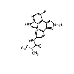 CCn1cc(-c2c(F)cnc3[nH]ccc23)c(-c2ccc(NC(=O)N(C)C)cc2)n1